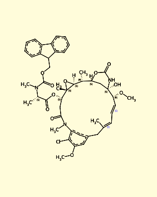 COc1cc2cc(c1Cl)N(C)C(=O)C[C@H](OC(=O)[C@H](C)N(C)C(=O)OCC1c3ccccc3-c3ccccc31)[C@]1(C)O[C@H]1[C@H](C)[C@@H]1C[C@@](O)(NC(=O)O1)[C@H](OC)/C=C/C=C(\C)C2